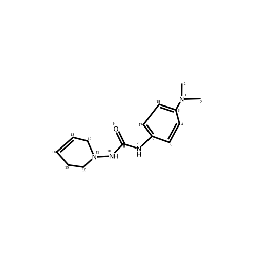 CN(C)c1ccc(NC(=O)NN2CC=CCC2)cc1